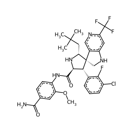 COc1cc(C(N)=O)ccc1NC(=O)[C@H]1N[C@H](CC(C)(C)C)[C@]2(CNc3cc(C(F)(F)F)ncc32)[C@@H]1c1cccc(Cl)c1F